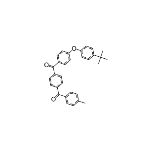 Cc1ccc(C(=O)c2ccc(C(=O)c3ccc(Oc4ccc(C(C)(C)C)cc4)cc3)cc2)cc1